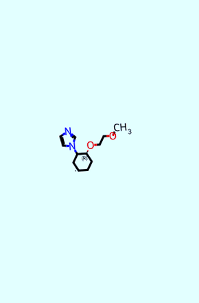 COCCO[C@@H]1CC[CH]CC1n1ccnc1